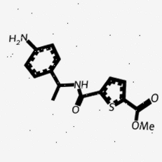 COC(=O)c1ccc(C(=O)NC(C)c2ccc(N)cc2)s1